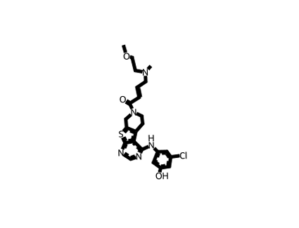 COCCN(C)C/C=C/C(=O)N1CCc2c(sc3ncnc(Nc4cc(O)cc(Cl)c4)c23)C1